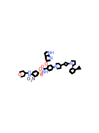 O=C(NS(=O)(=O)c1ccc(NCC2CCOCC2)c([N+](=O)[O-])c1)c1ccc(N2CCC(C3CC(N4CCC[C@H]4c4ccccc4C4CC4)C3)CC2)cc1Oc1cnc2[nH]ccc2c1